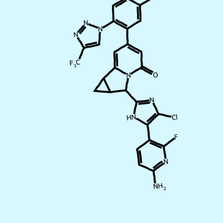 Nc1ccc(-c2[nH]c(C3C4CC4c4cc(-c5cc(Cl)ccc5-n5cc(C(F)(F)F)nn5)cc(=O)n43)nc2Cl)c(F)n1